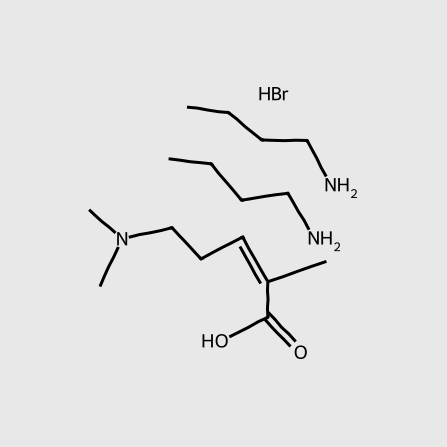 Br.CC(=CCCN(C)C)C(=O)O.CCCCN.CCCCN